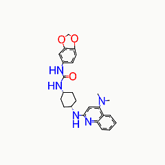 CN(C)c1cc(N[C@H]2CC[C@@H](NC(=O)Nc3ccc4c(c3)OCO4)CC2)nc2ccccc12